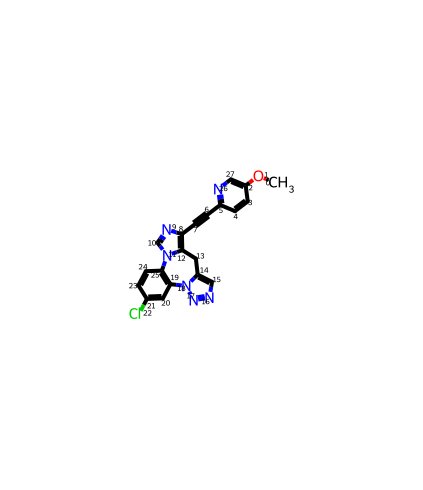 COc1ccc(C#Cc2ncn3c2Cc2cnnn2-c2cc(Cl)ccc2-3)nc1